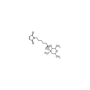 CC1CC(C)(O)C(OC(=O)CCCCCN2C(=O)C=CC2=O)C(C)O1